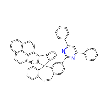 C1=Cc2ccc(-c3nc(-c4ccccc4)cc(-c4ccccc4)n3)cc2C2(c3ccccc31)c1ccccc1-c1c2cc2ccc3cccc4ccc1c2c34